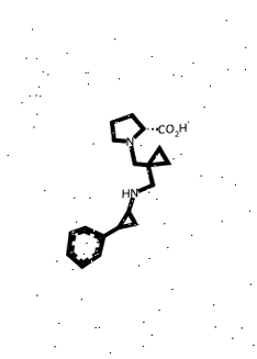 O=C(O)[C@H]1CCCN1CC1(CNC2CC2c2ccccc2)CC1